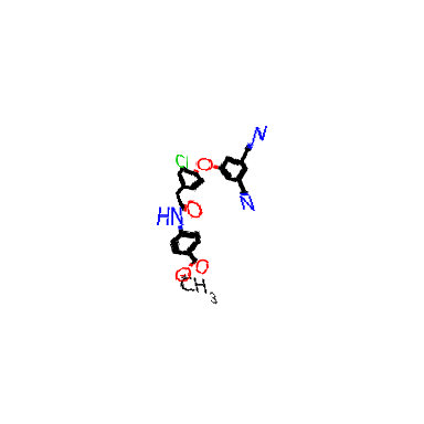 COC(=O)c1ccc(NC(=O)Cc2ccc(Oc3cc(C#N)cc(C#N)c3)c(Cl)c2)cc1